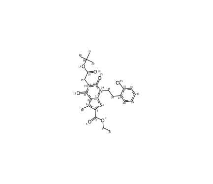 CCOC(=O)c1sc2c(c1C)c(=O)n(CC(=O)OC(C)(C)C)c(=O)n2CCc1ccccc1Cl